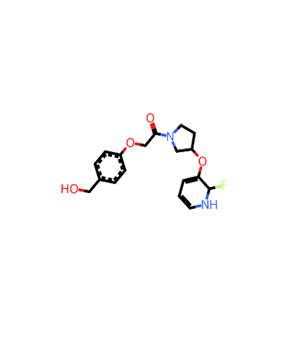 O=C(COc1ccc(CO)cc1)N1CCC(OC2=CC=CNC2F)C1